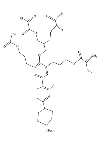 C=C(C)C(=O)OCCCc1cc(-c2ccc(C3CCC(CCCCC)CC3)cc2F)cc(CCCOC(=O)C(C)(C)C)c1OCC(COC(=O)C(=O)CC)COC(=O)C(=O)CC